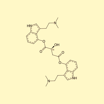 CN(C)CCc1c[nH]c2cccc(OC(=O)C[C@H](O)C(=O)Oc3cccc4[nH]cc(CCN(C)C)c34)c12